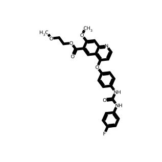 COCCOC(=O)c1cc2c(Oc3ccc(NC(=O)Nc4ccc(F)cc4)cc3)ccnc2cc1OC